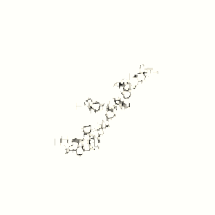 COc1cc(CN2CCN(C3CC4(C3)CN(c3ccc(C(=O)NS(=O)(=O)c5ccc(NCC6CCC(C)(O)CC6)c([N+](=O)[O-])c5)c(Oc5cnc6[nH]ccc6c5)c3)C4)[C@H](c3ccccc3C(C)C)C2)ccc1C1CC1